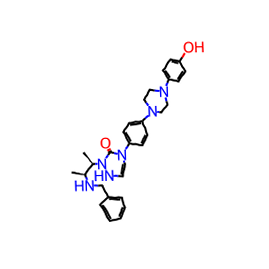 C[C@H](NCc1ccccc1)[C@@H](C)N1NC=CN(c2ccc(N3CCN(c4ccc(O)cc4)CC3)cc2)C1=O